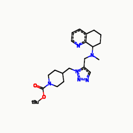 CN(Cc1cnnn1CC1CCN(C(=O)OC(C)(C)C)CC1)C1CCCc2cccnc21